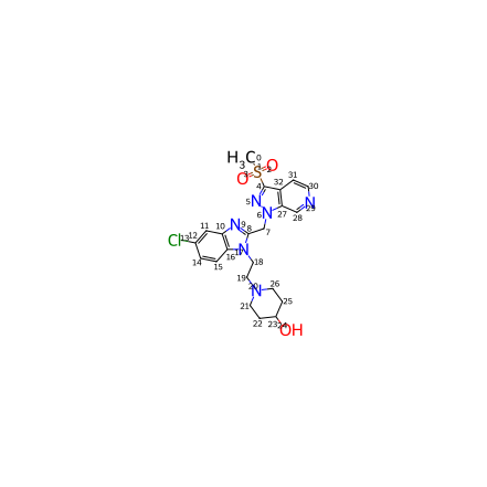 CS(=O)(=O)c1nn(Cc2nc3cc(Cl)ccc3n2CCN2CCC(O)CC2)c2cnccc12